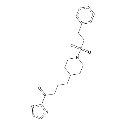 O=C(CCCC1CCN(S(=O)(=O)CCc2ccccc2)CC1)c1ncco1